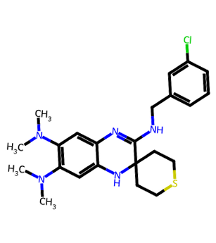 CN(C)c1cc2c(cc1N(C)C)NC1(CCSCC1)C(NCc1cccc(Cl)c1)=N2